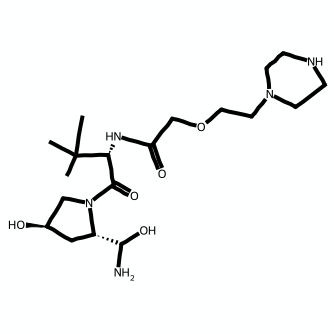 CC(C)(C)[C@H](NC(=O)COCCN1CCNCC1)C(=O)N1C[C@H](O)C[C@H]1C(N)O